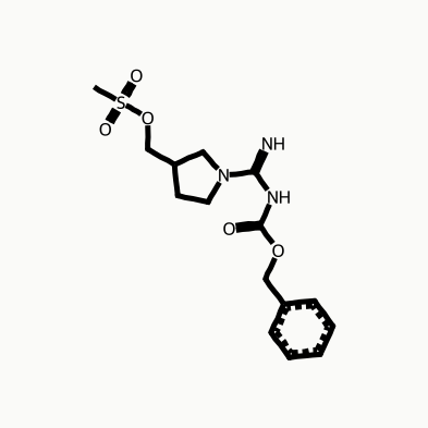 CS(=O)(=O)OCC1CCN(C(=N)NC(=O)OCc2ccccc2)C1